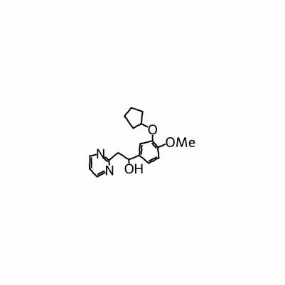 COc1ccc(C(O)Cc2ncccn2)cc1OC1CCCC1